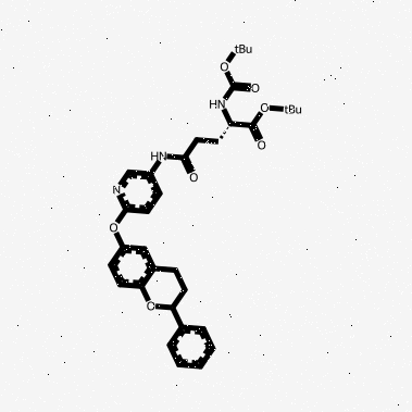 CC(C)(C)OC(=O)N[C@@H](CCC(=O)Nc1ccc(Oc2ccc3c(c2)CCC(c2ccccc2)O3)nc1)C(=O)OC(C)(C)C